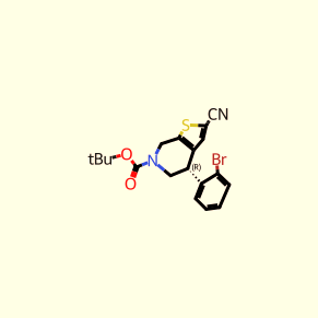 CC(C)(C)OC(=O)N1Cc2sc(C#N)cc2[C@H](c2ccccc2Br)C1